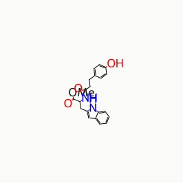 COC(=O)C(Cc1cc2ccccc2[nH]1)NC(=O)CCc1ccc(O)cc1